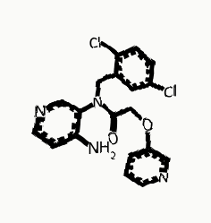 Nc1ccncc1N(Cc1cc(Cl)ccc1Cl)C(=O)COc1cccnc1